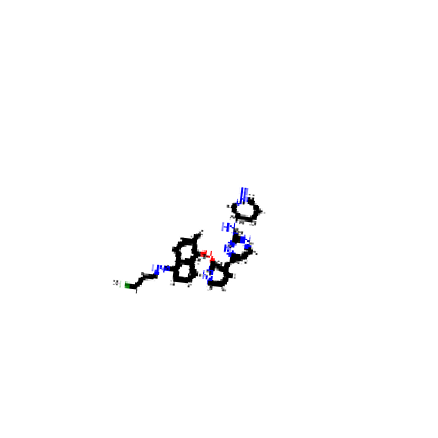 Cc1ccc2c(NCCCF)cccc2c1Oc1ncccc1-c1ccnc(N[C@H]2CCCNC2)n1